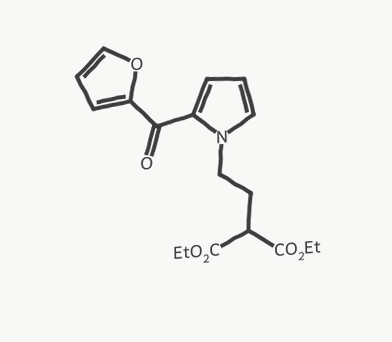 CCOC(=O)C(CCn1cccc1C(=O)c1ccco1)C(=O)OCC